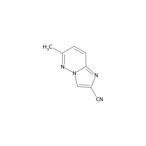 Cc1ccc2nc(C#N)cn2n1